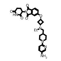 CCN(CC1CCN(c2ccc(N)cn2)CC1)[C@H]1C[C@H](Oc2ccc3c(c2)C(=O)N(C2CCC(=O)NC2=O)C3=O)C1